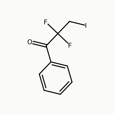 O=C(c1ccccc1)C(F)(F)CI